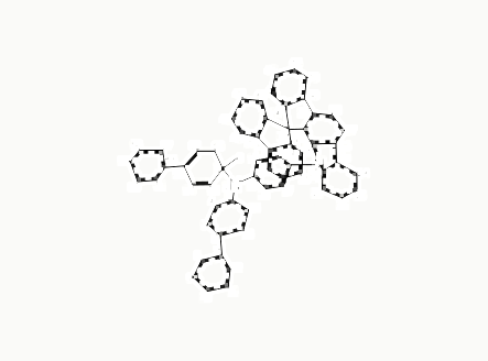 CC1(N(c2ccc(-c3ccccc3)cc2)c2ccc(-n3c4ccccc4c4ccc5c(c43)C3(c4ccccc4-c4ccccc43)c3ccccc3-5)cc2)C=CC(c2ccccc2)=CC1